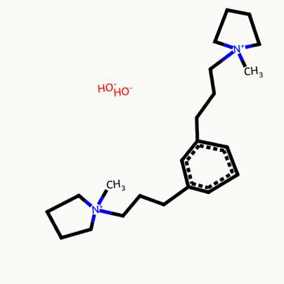 C[N+]1(CCCc2cccc(CCC[N+]3(C)CCCC3)c2)CCCC1.[OH-].[OH-]